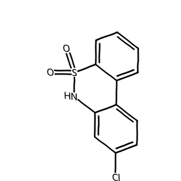 O=S1(=O)Nc2cc(Cl)ccc2-c2ccccc21